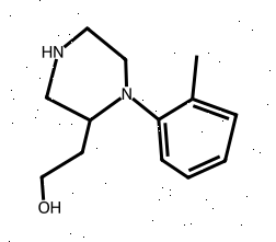 Cc1ccccc1N1CCNCC1CCO